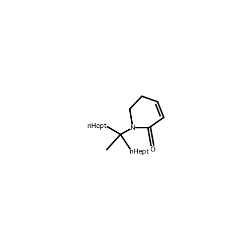 CCCCCCCC(C)(CCCCCCC)N1CCC=CC1=O